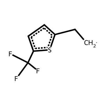 [CH2]Cc1ccc(C(F)(F)F)s1